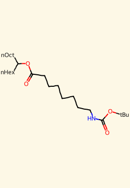 CCCCCCCCC(CCCCCC)OC(=O)CCCCCCCNC(=O)OC(C)(C)C